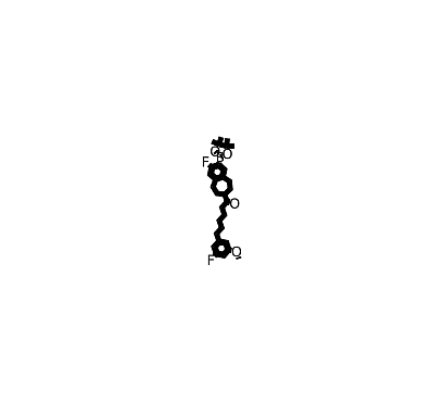 COc1cc(F)cc(CCCCCC(=O)C2CCc3cc(F)c(B4OC(C)(C)C(C)(C)O4)cc3CC2)c1